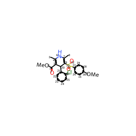 COC(=O)C1=C(C)NC(C)=C(S(=O)(=O)c2ccc(OC)cc2)C1c1ccccc1Cl